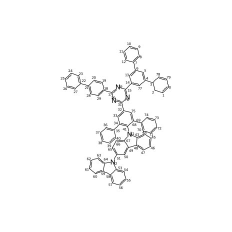 C1=CCC(c2cc(-c3ccccc3)cc(-c3nc(-c4ccc(-c5ccccc5)cc4)nc(-c4cc(-c5ccccc5)c(-n5c6ccccc6c6cc(-n7c8ccccc8c8ccccc87)ccc65)c(-c5ccccc5)c4)n3)c2)C=C1